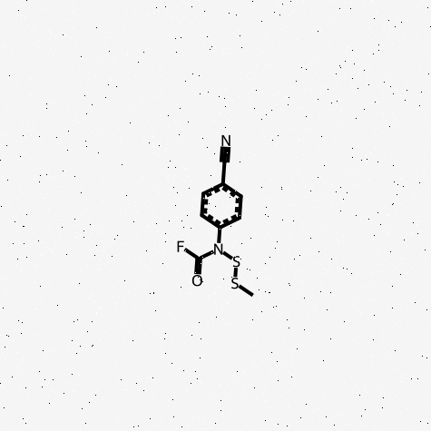 CSSN(C(=O)F)c1ccc(C#N)cc1